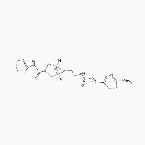 Nc1ccc(/C=C/C(=O)NCCC2[C@H]3CN(C(=O)Nc4ccccc4)C[C@@H]23)cn1